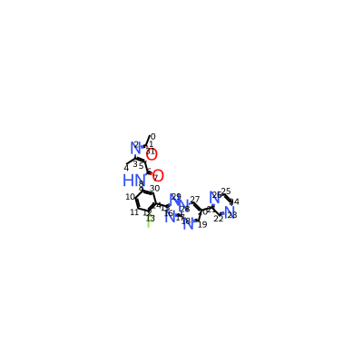 Cc1nc(C)c(C(=O)Nc2ccc(F)c(-c3nc4ncc(-c5cnccn5)cn4n3)c2)o1